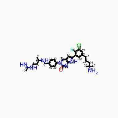 CC(=N)NCCC(C)NCc1ccc(-n2cc3cc(-c4cc(CCCC(C)(C)N)cc(Cl)c4F)[nH]c3nc2=O)cc1